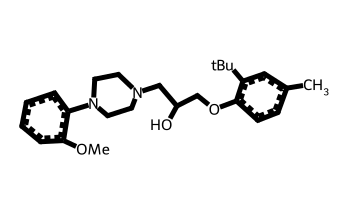 COc1ccccc1N1CCN(CC(O)COc2ccc(C)cc2C(C)(C)C)CC1